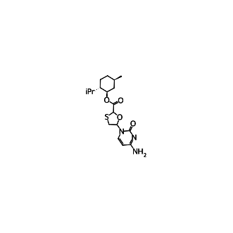 CC(C)[C@@H]1CC[C@@H](C)C[C@H]1OC(=O)C1OC(n2ccc(N)nc2=O)CS1